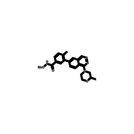 CONC(=O)c1ccc(C)c(-c2ccc3c(N4CCOC(I)C4)nncc3c2)c1